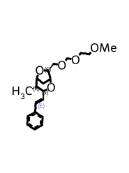 COCCOCOC[C@@H]1OC2CC1O[C@@H](/C=C/c1ccccc1)[C@@H]2C